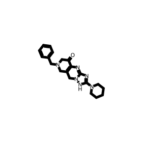 O=C1CN(Cc2ccccc2)CC2=C1N=C1N=C(N3CCCCC3)NN1C2